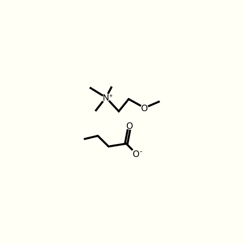 CCCC(=O)[O-].COCC[N+](C)(C)C